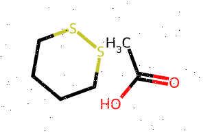 C1CCSSC1.CC(=O)O